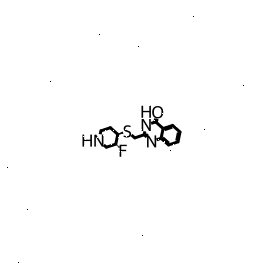 O=c1[nH]c(CS[C@@H]2CCNC[C@H]2F)nc2ccccc12